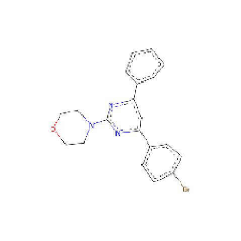 Brc1ccc(-c2cc(-c3ccccc3)nc(N3CCOCC3)n2)cc1